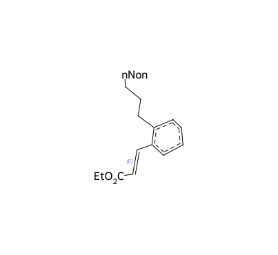 CCCCCCCCCCCCc1ccccc1/C=C/C(=O)OCC